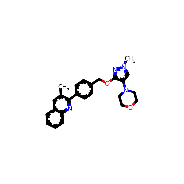 Cc1cc2ccccc2nc1-c1ccc(COc2nn(C)cc2N2CCOCC2)cc1